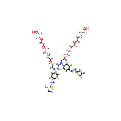 C[n+]1ccsc1/N=N/c1ccc(N(CCOCCOCCOCCOCCO)CCN(CCOCCOCCOCCOCCO)c2ccc(/N=N/c3nccs3)cc2)cc1